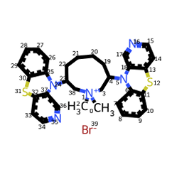 C[N+]1(C)CC(N2c3ccccc3Sc3ccncc32)CCCCC(N2c3ccccc3Sc3ccncc32)C1.[Br-]